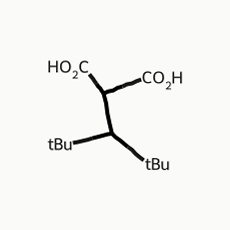 CC(C)(C)C(C(C(=O)O)C(=O)O)C(C)(C)C